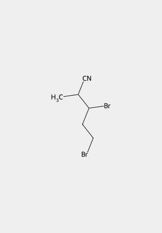 CC(C#N)C(Br)CCBr